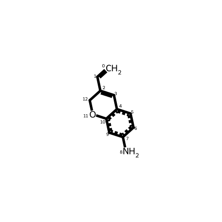 C=CC1=Cc2ccc(N)cc2OC1